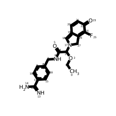 CCOC(C(=O)NCc1ccc(C(=N)N)cc1)N1C=C2C=CC(=O)C(F)=C2C1